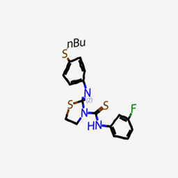 CCCCSc1ccc(/N=C2\SCCN2C(=S)Nc2cccc(F)c2)cc1